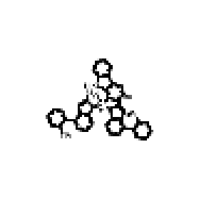 CCCc1ccccc1-c1cccc2c1C=C(C(C)(C)C)[CH]2[Hf]([Cl])([Cl])([c]1cccc2c1[SiH2]c1ccccc1-2)[CH]1C(C(C)(C)C)=Cc2c(-c3ccccc3CCC)cccc21